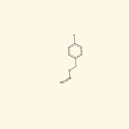 [CH]=NOCc1ccc(F)cc1